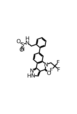 O=c1c2c[nH]nc2c2ccc(-c3ccccc3CN[SH](=O)=O)cc2n1CC(F)(F)F